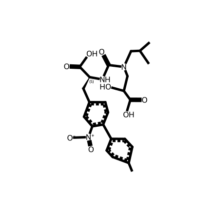 Cc1ccc(-c2ccc(C[C@H](NC(=O)N(CC(C)C)CC(O)C(=O)O)C(=O)O)cc2[N+](=O)[O-])cc1